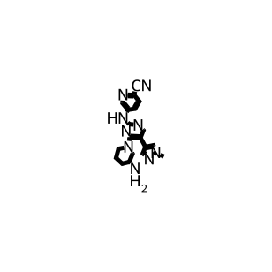 Cn1cc(-c2cnc(Nc3ccc(C#N)nc3)nc2N2CCCC(N)C2)cn1